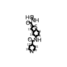 O=C(Nc1ccc2sc(C(=O)NO)cc2c1)c1ccncc1